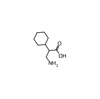 NCC(C(=O)O)C1CCCCC1